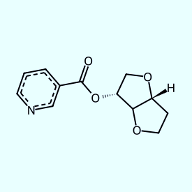 O=C(O[C@@H]1CO[C@@H]2CCOC21)c1cccnc1